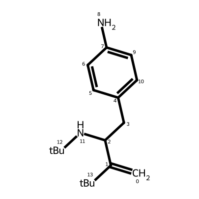 C=C(C(Cc1ccc(N)cc1)NC(C)(C)C)C(C)(C)C